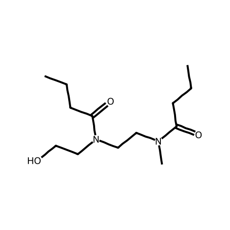 CCCC(=O)N(C)CCN(CCO)C(=O)CCC